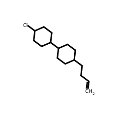 C=CCCC1CCC(C2CCC(Cl)CC2)CC1